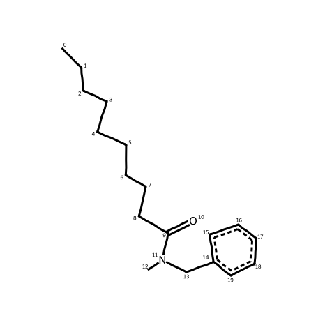 CCCCCCCCCC(=O)N(C)Cc1ccccc1